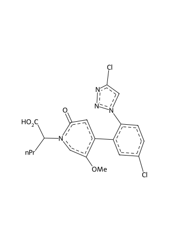 CCCC(C(=O)O)n1cc(OC)c(-c2cc(Cl)ccc2-n2cc(Cl)nn2)cc1=O